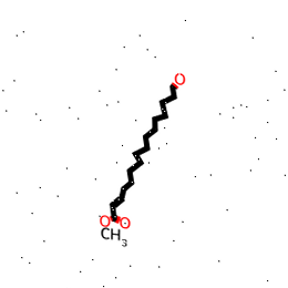 COC(=O)C=CCCCCCCCCCCCCC=O